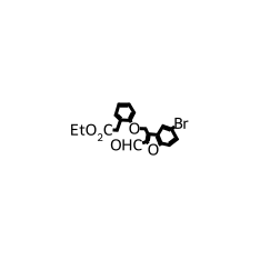 CCOC(=O)Cc1ccccc1OCc1c(C=O)oc2ccc(Br)cc12